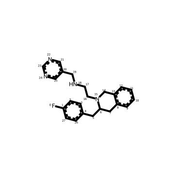 Fc1ccc(CC2Cc3ccccc3CN2CCNCc2cncnc2)cc1